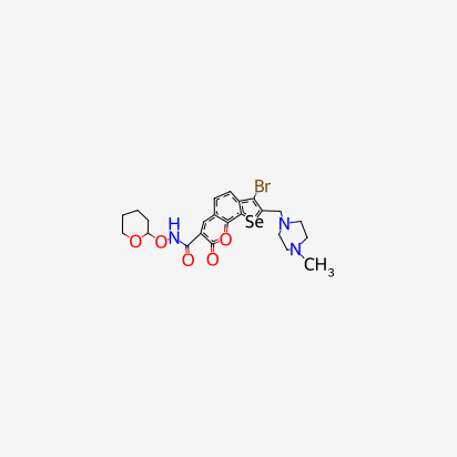 CN1CCN(Cc2[se]c3c(ccc4cc(C(=O)NOC5CCCCO5)c(=O)oc43)c2Br)CC1